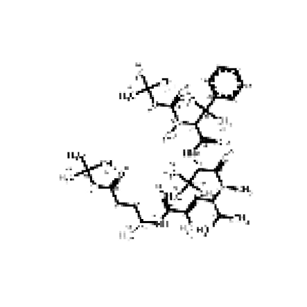 C/C(=C\[C@H](C(C)C)N(C)C(=O)[C@@H](NC(=O)[C@@H](N(C)C(=O)OC(C)(C)C)C(C)(C)c1ccccc1)C(C)(C)C)C(=O)N[C@H](C)CCC(=O)OC(C)(C)C